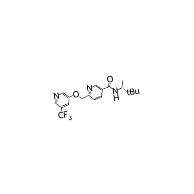 C[C@@H](NC(=O)c1ccc(COc2cncc(C(F)(F)F)c2)nc1)C(C)(C)C